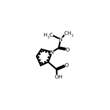 CN(C)C(=O)n1cccc1C(=O)O